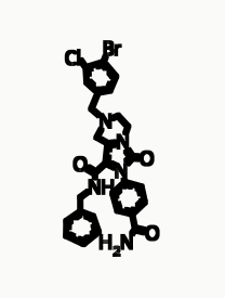 NC(=O)c1ccc(-n2c(C(=O)NCc3ccccc3)c3n(c2=O)CCN(Cc2ccc(Br)c(Cl)c2)C3)cc1